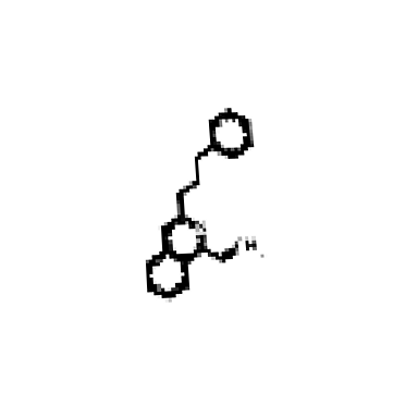 C=Cc1nc(CCCc2ccccc2)[c]c2ccccc12